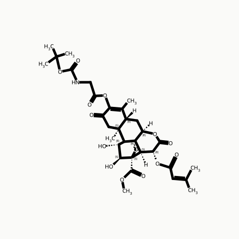 COC(=O)[C@@]12OC[C@]34C([C@@H](O)[C@@H]1O)[C@@]1(C)CC(=O)C(OC(=O)CNC(=O)OC(C)(C)C)=C(C)[C@@H]1C[C@H]3OC(=O)[C@H](OC(=O)C=C(C)C)[C@@H]24